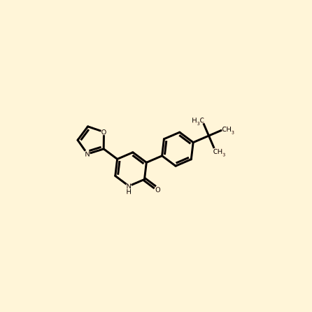 CC(C)(C)c1ccc(-c2cc(-c3ncco3)c[nH]c2=O)cc1